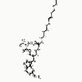 CCCCCCC=CCCCCCCCC(=O)OCCC(COC(=O)[C@@H](N)C(C)C)Cn1cnc2cnc(N)nc21